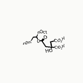 CCCCCCCCCCCC(CCCCCCCC)OC(=O)CC(O)(CC(=O)O)C(=O)O